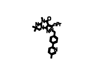 CCCc1c2c(nn1Cc1ccc(-c3ccc(C)cn3)cc1)N1CC(C)(C)N=C1N(C)C2=O